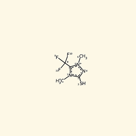 Cn1c(S)n[n+](C)c1C(F)(F)F